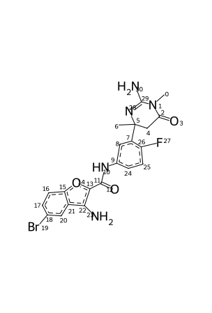 CN1C(=O)CC(C)(c2cc(NC(=O)c3oc4ccc(Br)cc4c3N)ccc2F)N=C1N